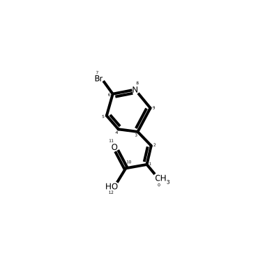 CC(=Cc1ccc(Br)nc1)C(=O)O